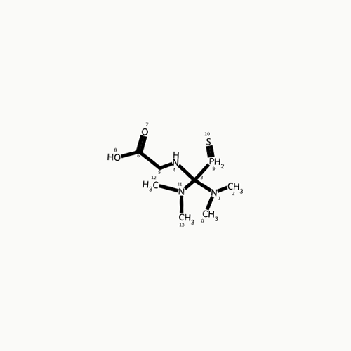 CN(C)C(NCC(=O)O)([PH2]=S)N(C)C